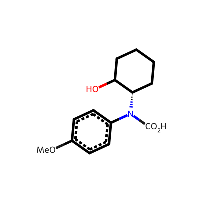 COc1ccc(N(C(=O)O)[C@H]2CCCCC2O)cc1